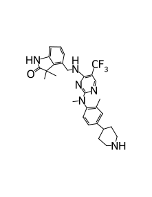 Cc1cc(C2CCNCC2)ccc1N(C)c1ncc(C(F)(F)F)c(NCc2cccc3c2C(C)(C)C(=O)N3)n1